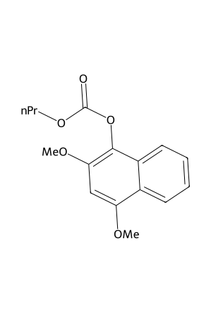 CCCOC(=O)Oc1c(OC)cc(OC)c2ccccc12